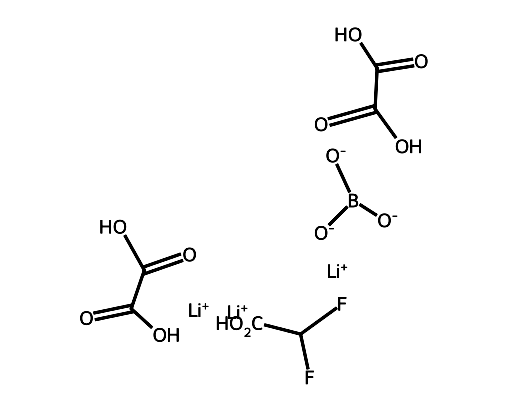 O=C(O)C(=O)O.O=C(O)C(=O)O.O=C(O)C(F)F.[Li+].[Li+].[Li+].[O-]B([O-])[O-]